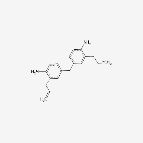 C=CCc1cc(Cc2ccc(N)c(CC=C)c2)ccc1N